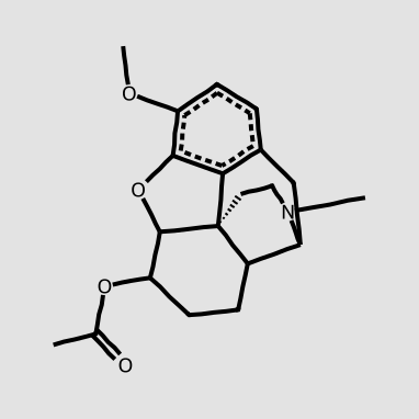 COc1ccc2c3c1OC1C(OC(C)=O)CCC4C(C2)N(C)CC[C@]341